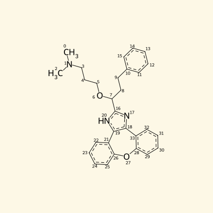 CN(C)CCCOC(CCc1ccccc1)c1nc2c([nH]1)-c1ccccc1Oc1ccccc1-2